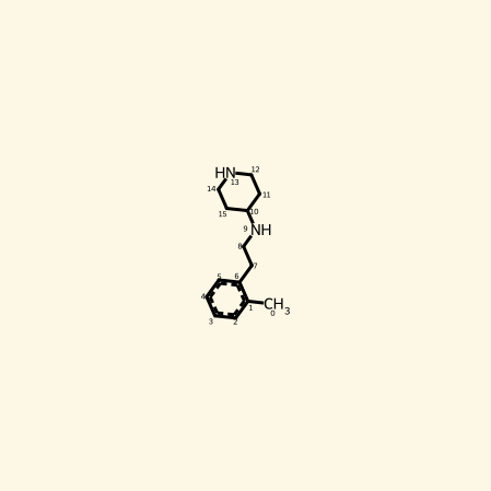 Cc1ccccc1CCNC1CCNCC1